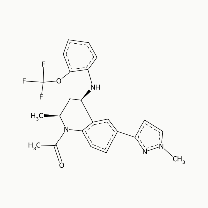 CC(=O)N1c2ccc(-c3ccn(C)n3)cc2[C@H](Nc2ccccc2OC(F)(F)F)C[C@@H]1C